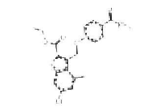 CCOC(=O)c1sc2cc(Cl)cc(F)c2c1COc1ccc(C(N)=O)cc1